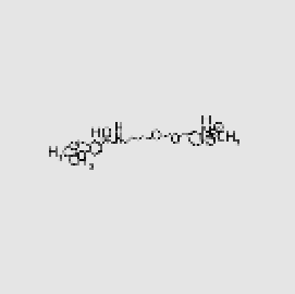 CC1(C)OCc2cc([C@H](O)CNCCCCCOCCOCc3cccc(NS(C)(=O)=O)c3)ccc2O1